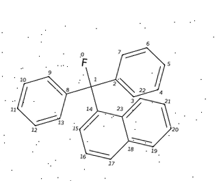 FC(c1ccccc1)(c1ccccc1)c1cccc2ccccc12